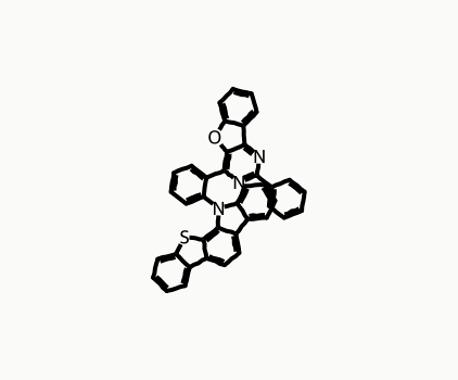 c1ccc(-c2nc(-c3ccccc3-n3c4ccccc4c4ccc5c6ccccc6sc5c43)c3oc4ccccc4c3n2)cc1